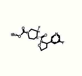 CC(C)(C)OC(=O)N1CC[C@@H](C(=O)N2OCCC2c2cncc(F)c2)[C@@H](F)C1